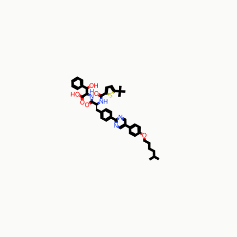 CC(C)CCCCOc1ccc(-c2cnc(-c3ccc(C[C@H](NC(=O)c4ccc(C(C)(C)C)s4)C(=O)NC(C(=O)O)C(O)c4ccccc4)cc3)nc2)cc1